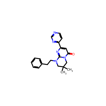 CC1(C)CN(CCc2ccccc2)c2nc(-c3ccncn3)cc(=O)n2C1